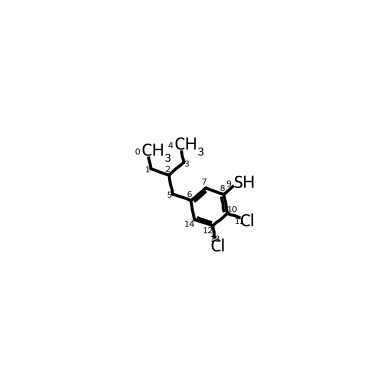 CCC(CC)Cc1cc(S)c(Cl)c(Cl)c1